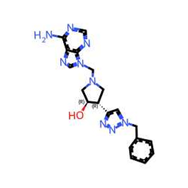 Nc1ncnc2c1ncn2CN1C[C@H](c2cn(Cc3ccccc3)nn2)[C@@H](O)C1